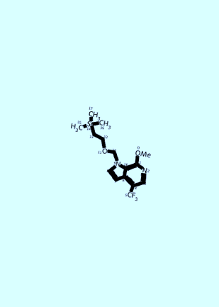 COc1ncc(C(F)(F)F)c2ccn(COCC[Si](C)(C)C)c12